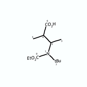 CCOC(=O)N(C(C)C(C)C(=O)O)C(C)(C)C